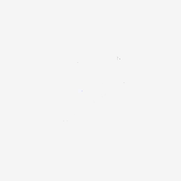 COC(=O)/C(=C\c1cc(Br)c(N)cc1Br)CC(=O)O